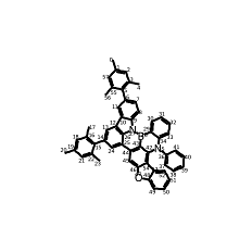 Cc1cc(C)c(-c2ccc3c(c2)c2cc(-c4c(C)cc(C)cc4C)cc4c2n3B2c3ccccc3N(c3ccccc3)c3c2c-4cc2oc4ccccc4c32)c(C)c1